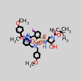 COc1ccc(CN(Cc2ccc(OC)cc2)S(=O)(=O)c2c(S(=O)(=O)N[C@@H]3CN(C(=O)OC(C)(C)C)C[C@@H]3O)ccc(I)c2-c2nnn(Cc3ccc(OC)cc3)n2)cc1